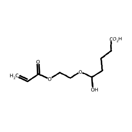 C=CC(=O)OCCOC(O)CCCC(=O)O